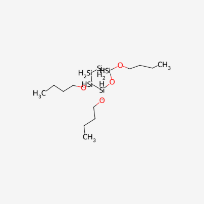 CCCCO[SiH]1O[SiH](OCCCC)[SiH](OCCCC)[SiH2][SiH2]1